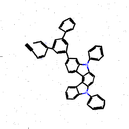 C#C/C=C\C(=C/C)c1cc(-c2ccccc2)cc(-c2ccc3c4c5c6ccccc6n(-c6ccccc6)c5ccc4n(-c4ccccc4)c3c2)c1